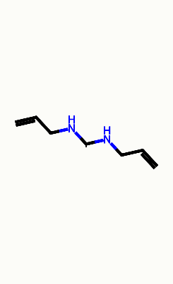 C=CCN[CH]NCC=C